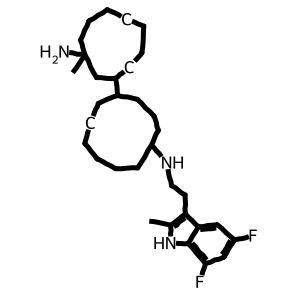 Cc1[nH]c2c(F)cc(F)cc2c1CCNC1CCCCCCC(C2CCCCCCCC(C)(N)C2)CCC1